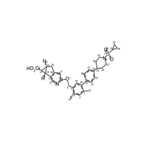 Cc1cc(F)c(COc2cc3c(cn2)[C@H]2[C@@H](C3)[C@@H]2C(=O)O)cc1-c1ccc(C2CCN(S(=O)(=O)C3CC3)CC2)cc1